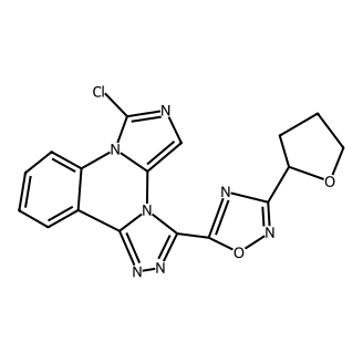 Clc1ncc2n1c1ccccc1c1nnc(-c3nc(C4CCCO4)no3)n12